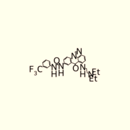 CCN(CC)CCNc1ccc2ncn3c4ccc(NC(=O)Nc5cccc(C(F)(F)F)c5)cc4c(=O)c1c23